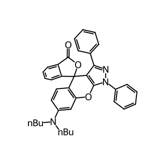 CCCCN(CCCC)c1ccc2c(c1)Oc1c(c(-c3ccccc3)nn1-c1ccccc1)C21OC(=O)c2ccccc21